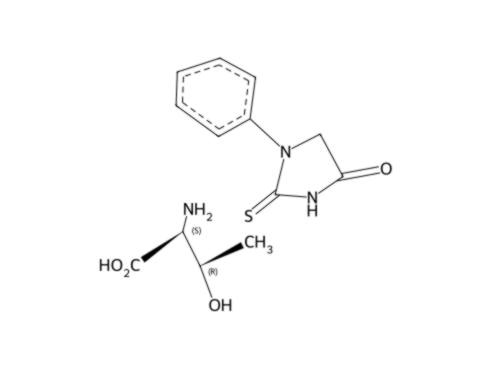 C[C@@H](O)[C@H](N)C(=O)O.O=C1CN(c2ccccc2)C(=S)N1